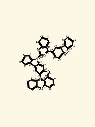 c1ccc2c(c1)Oc1cccc3c1N2c1cc2c4ccccc4n(-c4nc(-c5ccc6sc7ccccc7c6c5)c5ccccc5n4)c2cc1O3